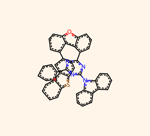 c1ccc(-c2nc(-c3cccc4oc5cccc(-c6ccc7sc8ccccc8c7c6)c5c34)nc(-n3c4ccccc4c4ccccc43)n2)cc1